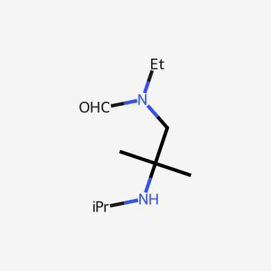 CCN(C=O)CC(C)(C)NC(C)C